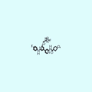 COC1CCC(C(=O)Nc2cc(-c3cc(COCc4noc(F)n4)nc(Nc4ccc(F)cc4)c3)ccn2)CC1